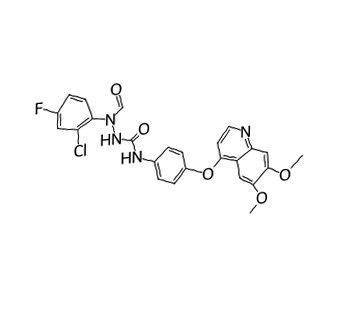 COc1cc2nccc(Oc3ccc(NC(=O)NN(C=O)c4ccc(F)cc4Cl)cc3)c2cc1OC